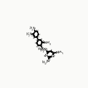 Nc1cc(N)nc(N)n1.Nc1ccc(-c2ccc(N)c(N)c2)cc1N